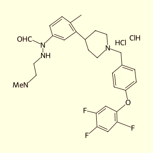 CNCCNN(C=O)c1ccc(C)c(C2CCN(Cc3ccc(Oc4cc(F)c(F)cc4F)cc3)CC2)c1.Cl.Cl